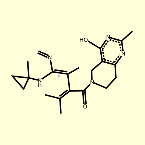 C=N/C(NC1(C)CC1)=C(\C)C(C(=O)N1CCc2nc(C)nc(O)c2C1)=C(C)C